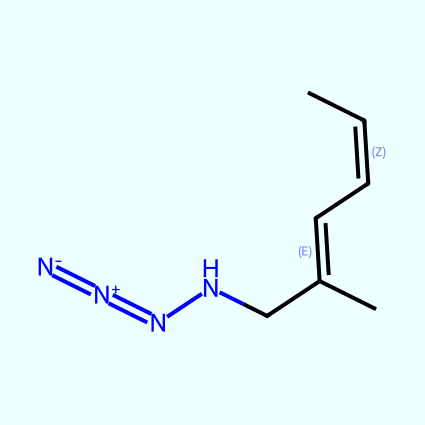 C/C=C\C=C(/C)CNN=[N+]=[N-]